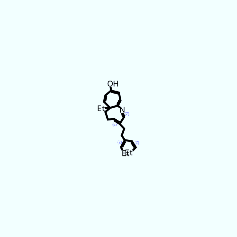 CC/C=C\C(=C/CC)CCC1=C\CCC2(CC)C=CC(O)=CC=C2/N=C\1